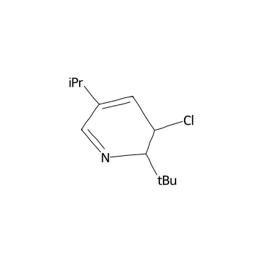 CC(C)C1=CC(Cl)C(C(C)(C)C)N=C1